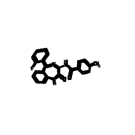 Cc1ccc(C(=O)N[C@H]2N=C(c3ccccc3F)c3ccccc3NC2=O)cc1